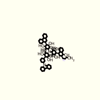 C=C/C=C\c1cc(-c2c(O)c(O)c(N(c3c(O)c(O)c(-c4cccc(-n5c6ccccc6c6ccccc65)c4)c(O)c3O)c3c(O)c(O)c(-c4cc5ccccc5c5ccccc45)c(O)c3O)c(O)c2O)c2ccccc2c1C